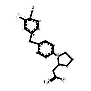 C=C(O)CC1CCCN1c1ccc(Cc2ccc(Cl)c(Cl)c2)cc1